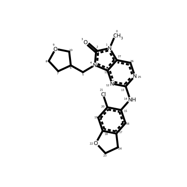 Cn1c(=O)n(CC2CCOC2)c2nc(Nc3cc4c(cc3Cl)OCC4)ncc21